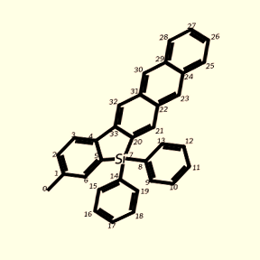 Cc1ccc2c(c1)[Si](c1ccccc1)(c1ccccc1)c1cc3cc4ccccc4cc3cc1-2